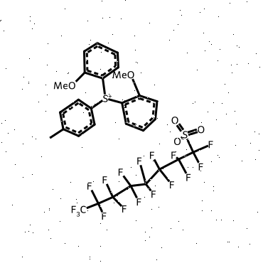 COc1ccccc1[S+](c1ccc(C)cc1)c1ccccc1OC.O=S(=O)([O-])C(F)(F)C(F)(F)C(F)(F)C(F)(F)C(F)(F)C(F)(F)C(F)(F)C(F)(F)F